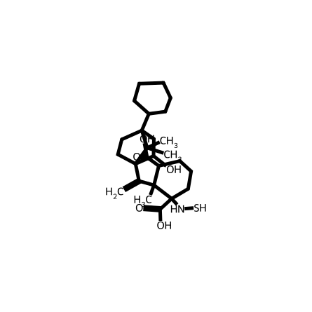 C=C(C1(C)C(C(=O)O)CCCC1(NS)C(=O)O)C12CCC(C3CCCCC3)(CC1O)C2(C)C